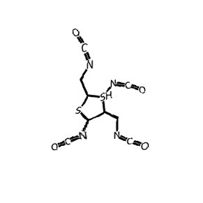 O=C=NCC1SC(N=C=O)C(CN=C=O)[SH]1N=C=O